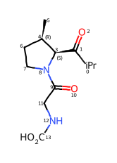 CC(C)C(=O)[C@@H]1[C@H](C)CCN1C(=O)CNC(=O)O